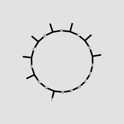 CC1CCCOCOC(I)CCC(C)CC(C)CC(C)CC(C)CC(C)CC(C)C1